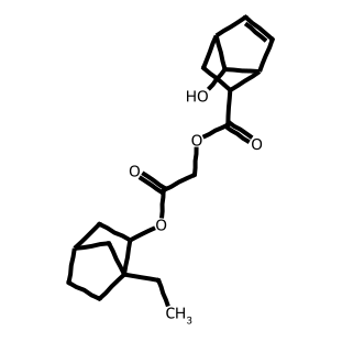 CCC12CCC(CC1OC(=O)COC(=O)C1CC3C=CC1C3O)C2